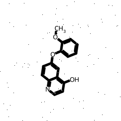 COc1ccccc1Oc1ccc2nccc(O)c2c1